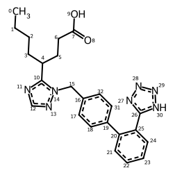 CCCCC(CCC(=O)O)c1ncnn1Cc1ccc(-c2ccccc2-c2nnn[nH]2)cc1